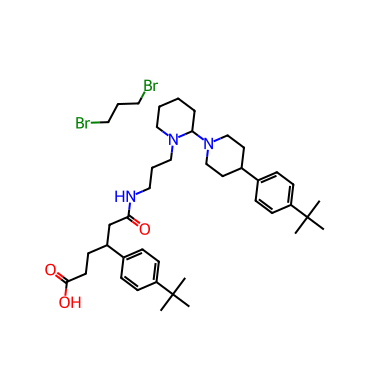 BrCCCBr.CC(C)(C)c1ccc(C2CCN(C3CCCCN3CCCNC(=O)CC(CCC(=O)O)c3ccc(C(C)(C)C)cc3)CC2)cc1